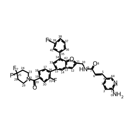 Nc1ccc(C=CC(=O)NCc2cc3cc(-c4ccc(C(=O)N5CCC(F)(F)CC5)cc4F)cc(-c4cccc(F)c4)c3o2)cn1